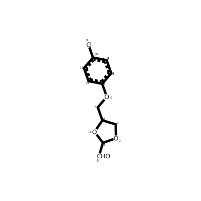 O=CC1OCC(COc2ccc(Cl)cc2)O1